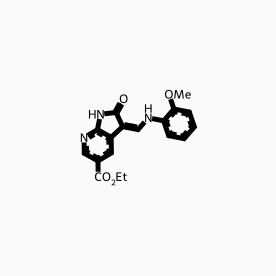 CCOC(=O)c1cnc2c(c1)C(=CNc1ccccc1OC)C(=O)N2